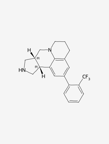 FC(F)(F)c1ccccc1-c1cc2c3c(c1)[C@@H]1CNC[C@@H]1CN3CCC2